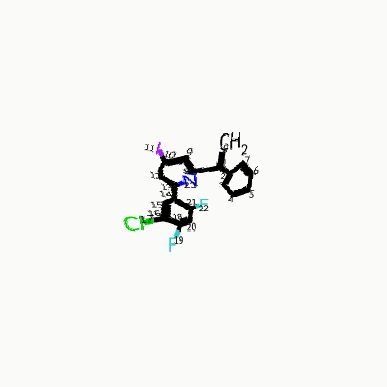 C=C(c1ccccc1)c1cc(I)cc(-c2cc(Cl)c(F)cc2F)n1